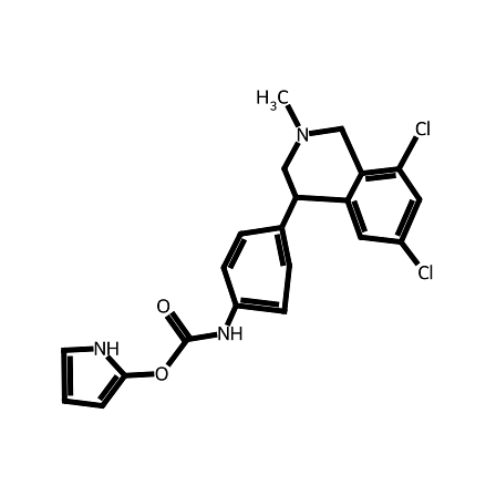 CN1Cc2c(Cl)cc(Cl)cc2C(c2ccc(NC(=O)Oc3ccc[nH]3)cc2)C1